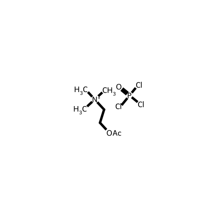 CC(=O)OCC[N+](C)(C)C.O=P(Cl)(Cl)Cl